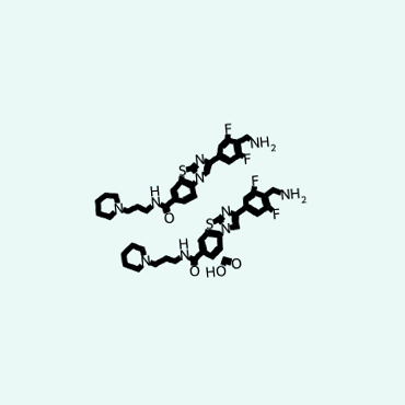 NCc1c(F)cc(-c2cn3c(n2)sc2cc(C(=O)NCCCN4CCCCC4)ccc23)cc1F.NCc1c(F)cc(-c2cn3c(n2)sc2cc(C(=O)NCCCN4CCCCC4)ccc23)cc1F.O=CO